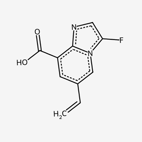 C=Cc1cc(C(=O)O)c2ncc(F)n2c1